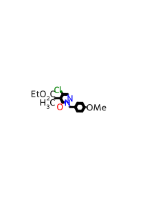 CCOC(=O)C(C)c1c(Cl)cnn(Cc2ccc(OC)cc2)c1=O